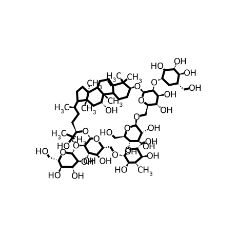 C[C@@H]1[C@@H](O)[C@H](OC[C@H]2O[C@@H](O[C@H](CC[C@@H](C)C3CC[C@@]4(C)C5CC=C6C(CC[C@H](O[C@@H]7O[C@H](CO[C@@H]8O[C@H](CO)[C@@H](O)[C@H](O)[C@H]8O)[C@@H](O)[C@H](O)[C@H]7O[C@H]7C[C@@H](CO)[C@H](O)[C@@H](O)[C@@H]7O)C6(C)C)[C@]5(C)[C@H](O)C[C@]34C)C(C)(C)O)[C@H](O[C@H]3O[C@@H](CO)[C@H](O)[C@@H](O)[C@@H]3O)[C@@H](O)[C@@H]2O)O[C@H](CO)[C@H]1O